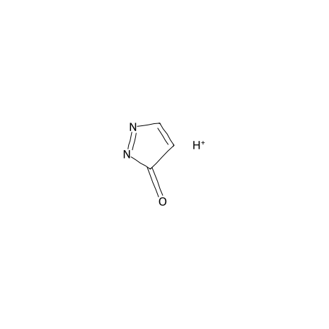 O=C1C=CN=N1.[H+]